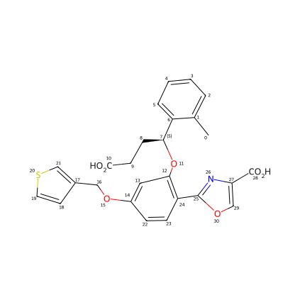 Cc1ccccc1[C@H](CCC(=O)O)Oc1cc(OCc2ccsc2)ccc1-c1nc(C(=O)O)co1